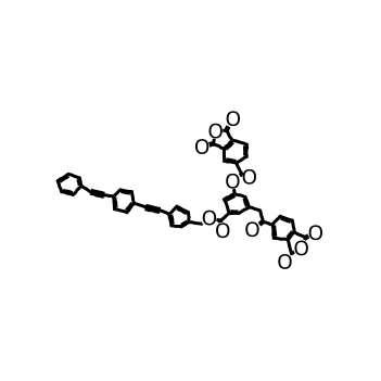 O=C(Cc1cc(OC(=O)c2ccc3c(c2)C(=O)OC3=O)cc(C(=O)OCc2ccc(C#Cc3ccc(C#Cc4ccccc4)cc3)cc2)c1)c1ccc2c(c1)C(=O)OC2=O